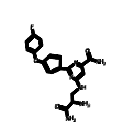 NC(=O)c1cc(NCC(N)C(N)=O)nc(-c2ccc(Oc3ccc(F)cc3)cc2)n1